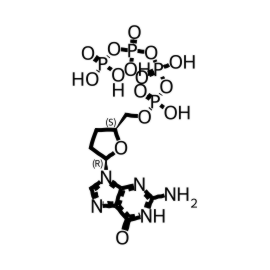 Nc1nc2c(ncn2[C@H]2CC[C@@H](COP(=O)(O)OP(=O)(O)OP(=O)(O)OP(=O)(O)O)O2)c(=O)[nH]1